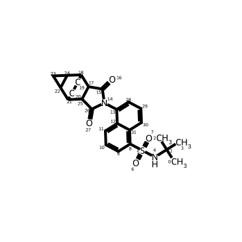 CC(C)(C)NS(=O)(=O)c1cccc2c(N3C(=O)C4C5CCC(C6CC65)C4C3=O)cccc12